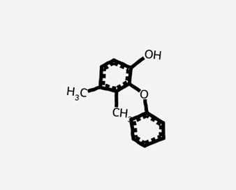 Cc1ccc(O)c(Oc2ccccc2)c1C